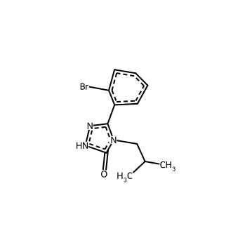 CC(C)Cn1c(-c2ccccc2Br)n[nH]c1=O